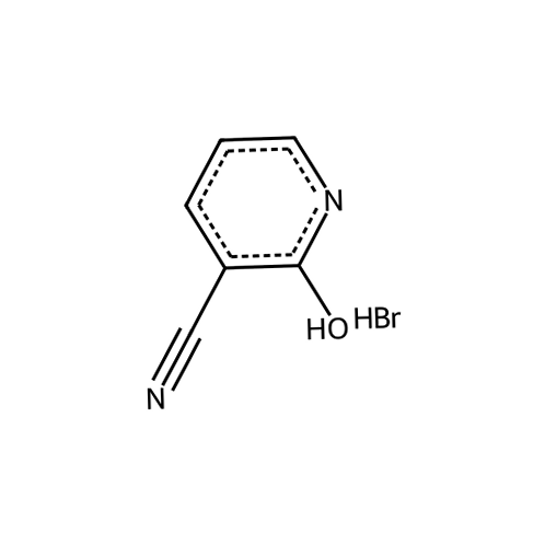 Br.N#Cc1cccnc1O